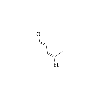 CCC(C)=CC=C[O]